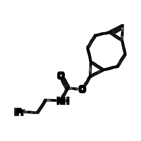 CC(C)CCNC(=O)OC1C2CCC3=CC3CCC21